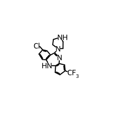 FC(F)(F)c1ccc2c(c1)N=C(N1CCNCC1)c1cc(Cl)ccc1N2